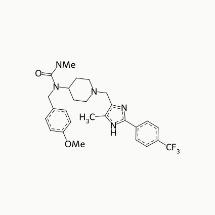 CNC(=O)N(Cc1ccc(OC)cc1)C1CCN(Cc2nc(-c3ccc(C(F)(F)F)cc3)[nH]c2C)CC1